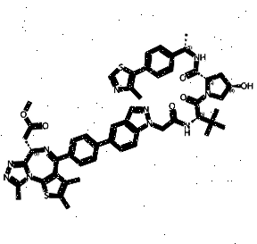 COC(=O)C[C@@H]1N=C(c2ccc(-c3ccc4c(cnn4CC(=O)N[C@H](C(=O)N4C[C@H](O)C[C@H]4C(=O)N[C@@H](C)c4ccc(-c5scnc5C)cc4)C(C)(C)C)c3)cc2)c2c(sc(C)c2C)-n2c(C)nnc21